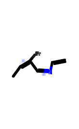 C=C/N=C\C(=C/C)C(C)C